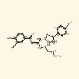 CCOCCN/C(=N/C(=O)c1ccc(F)c(F)c1)NC1CC(c2ccc(F)cc2)NN1